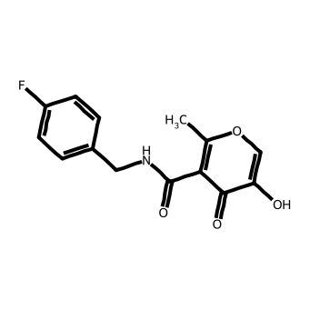 Cc1occ(O)c(=O)c1C(=O)NCc1ccc(F)cc1